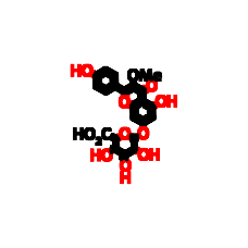 COc1c(-c2ccc(O)cc2)oc2cc(O[C@@H]3OC(C(=O)O)[C@@H](O)[C@H](O)C3O)cc(O)c2c1=O